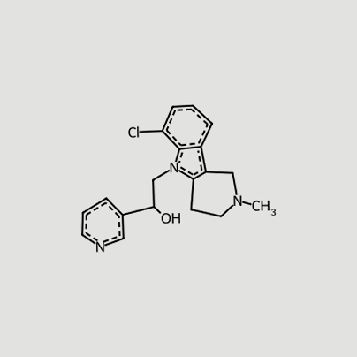 CN1CCc2c(c3cccc(Cl)c3n2CC(O)c2cccnc2)C1